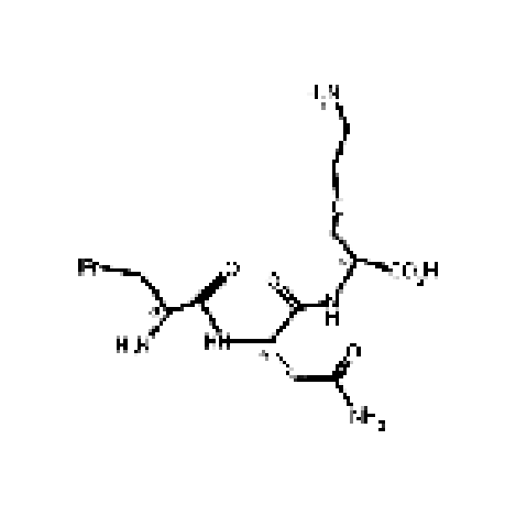 CC(C)C[C@H](N)C(=O)N[C@@H](CC(N)=O)C(=O)N[C@@H](CCCCN)C(=O)O